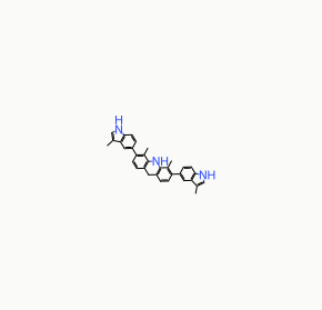 Cc1c(-c2ccc3[nH]cc(C)c3c2)ccc2c1Nc1c(ccc(-c3ccc4[nH]cc(C)c4c3)c1C)C2